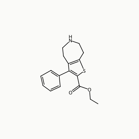 CCOC(=O)c1sc2c(c1-c1ccccc1)CCNCC2